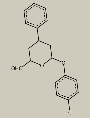 O=CC1CC(c2ccccc2)CC(Oc2ccc(Cl)cc2)O1